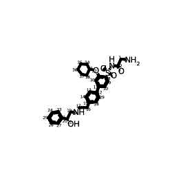 NCC(=O)NS(=O)(=O)c1ccc(-c2ccc(CCNC[C@H](O)c3ccccc3)cc2)cc1OC1CCCCC1